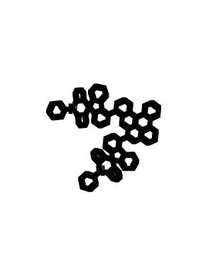 c1ccc(-c2ccccc2-c2c3cccc(-c4cccc5c4-c4ccccc4C54c5ccccc5N(c5ccccc5)c5ccccc54)c3cc3c(-c4cccc5c4-c4ccccc4C54c5ccccc5N(c5ccccc5)c5ccccc54)cccc23)cc1